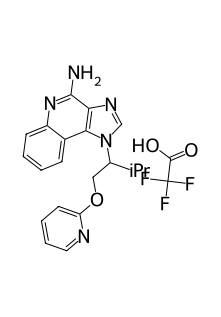 CC(C)C(COc1ccccn1)n1cnc2c(N)nc3ccccc3c21.O=C(O)C(F)(F)F